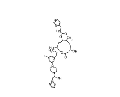 C/C(=C\c1cc(F)cc(N2CCN(C(O)Cn3cccn3)CC2)c1)[C@H]1OC(=O)C[C@H](O)CC[C@H](C)[C@@H](OC(=O)NCc2ccncn2)/C=C/[C@@H]1C